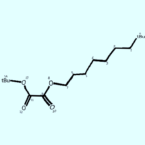 CC(C)(C)CCCCCCCOC(=O)C(=O)OC(C)(C)C